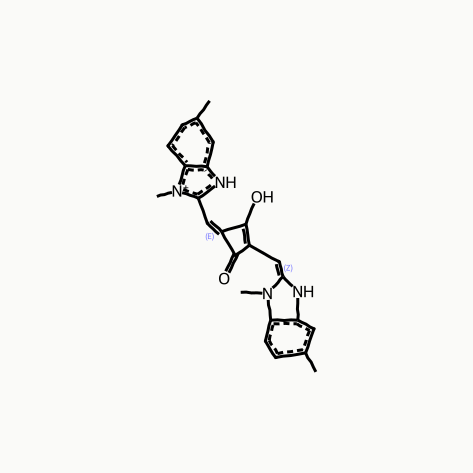 Cc1ccc2c(c1)N/C(=C/C1=C(O)C(=C\c3[nH]c4cc(C)ccc4[n+]3C)/C1=O)N2C